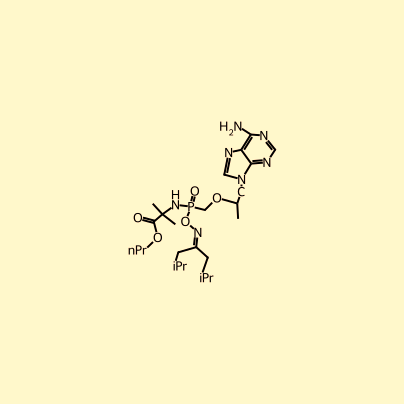 CCCOC(=O)C(C)(C)NP(=O)(COC(C)Cn1cnc2c(N)ncnc21)ON=C(CC(C)C)CC(C)C